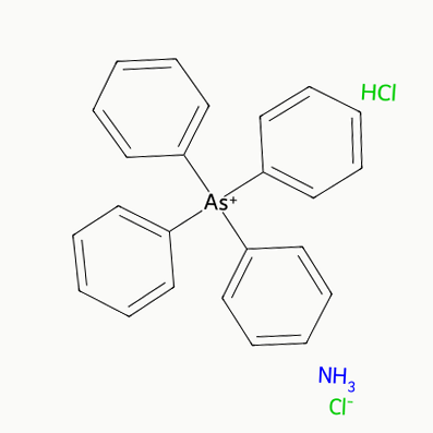 Cl.N.[Cl-].c1ccc([As+](c2ccccc2)(c2ccccc2)c2ccccc2)cc1